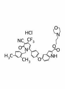 Cc1ccc(Cn2c(-c3ccc(Oc4ccc5[nH]c(C(=O)OCCCN6CCOCC6)cc5c4)cc3)cc(C(F)(F)F)c(C#N)c2=O)c(C)c1.Cl